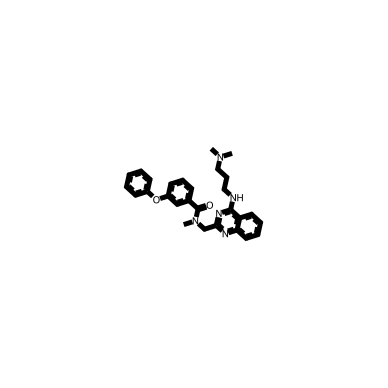 CN(C)CCCNc1nc(CN(C)C(=O)c2cccc(Oc3ccccc3)c2)nc2ccccc12